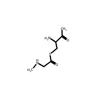 CNCC(=O)SCC(N)C(C)=O